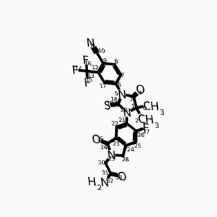 CC1(C)C(=O)N(c2ccc(C#N)c(C(F)(F)F)c2)C(=S)N1c1cc2c(cc1F)CN(CC(N)=O)C2=O